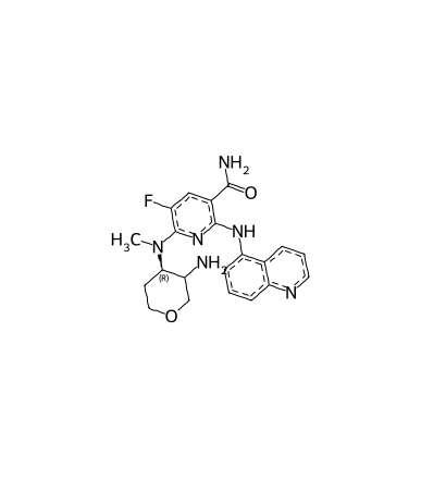 CN(c1nc(Nc2cccc3ncccc23)c(C(N)=O)cc1F)[C@@H]1CCOCC1N